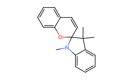 CN1c2ccccc2C(C)(C)C12C=Cc1ccccc1O2